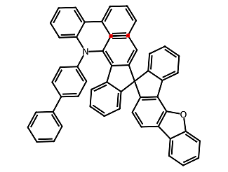 c1ccc(-c2ccc(N(c3ccccc3-c3ccccc3)c3cccc4c3-c3ccccc3C43c4ccccc4-c4c3ccc3c4oc4ccccc43)cc2)cc1